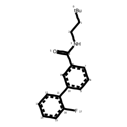 CC(C)(C)CCNC(=O)c1cccc(-c2ccccc2F)c1